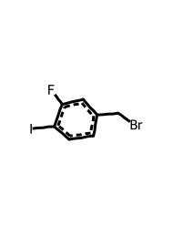 Fc1cc(CBr)ccc1I